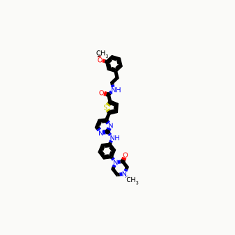 COc1cccc(CCNC(=O)c2ccc(-c3ccnc(Nc4cccc(N5CCN(C)CC5=O)c4)n3)s2)c1